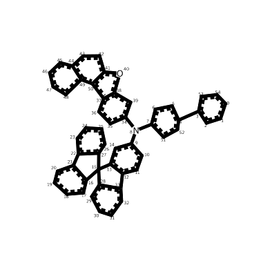 c1ccc(-c2ccc(N(c3ccc4c(c3)C3(c5ccccc5-c5ccccc53)c3ccccc3-4)c3ccc4c(c3)oc3ccc5ccccc5c34)cc2)cc1